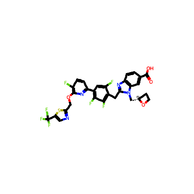 O=C(O)c1ccc2nc(Cc3c(F)cc(-c4ccc(F)c(OCc5ncc(C(F)(F)F)s5)n4)c(F)c3F)n(C[C@@H]3CCO3)c2c1